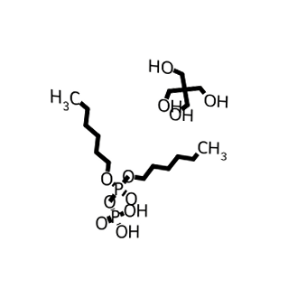 CCCCCCOP(=O)(OCCCCCC)OP(=O)(O)O.OCC(CO)(CO)CO